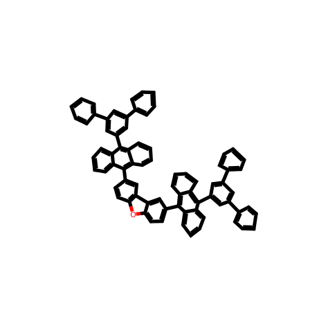 c1ccc(-c2cc(-c3ccccc3)cc(-c3c4ccccc4c(-c4ccc5oc6ccc(-c7c8ccccc8c(-c8cc(-c9ccccc9)cc(-c9ccccc9)c8)c8ccccc78)cc6c5c4)c4ccccc34)c2)cc1